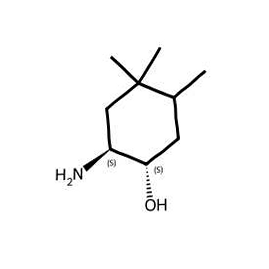 CC1C[C@H](O)[C@@H](N)CC1(C)C